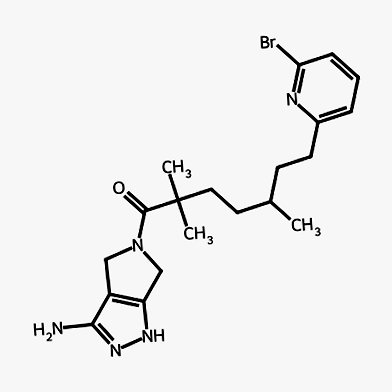 CC(CCc1cccc(Br)n1)CCC(C)(C)C(=O)N1Cc2[nH]nc(N)c2C1